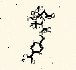 COC(=O)c1ccc(COC(=O)[C@@H]2N3C(=O)CC3(OC)S(=O)(=O)C2(C)C)cc1